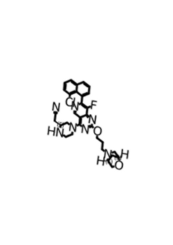 N#CC[C@H]1CN(c2nc(OCCCN3C[C@@H]4C[C@H]3CO4)nc3c(F)c(-c4cccc5cccc(Cl)c45)ncc23)CCN1